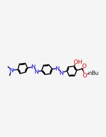 CCCCOC(=O)c1ccc(/N=N/c2ccc(/N=N/c3ccc(N(C)C)cc3)cc2)cc1O